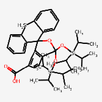 CC(C)[Si](OC1(O[Si](C(C)C)(C(C)C)C(C)C)OC2(c3ccccc3[SiH2]c3ccccc32)c2cc(C(=O)O)ccc21)(C(C)C)C(C)C